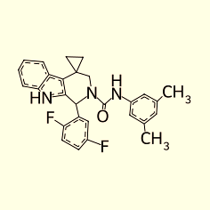 Cc1cc(C)cc(NC(=O)N2CC3(CC3)c3c([nH]c4ccccc34)C2c2cc(F)ccc2F)c1